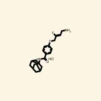 Cl.NCC=C(F)COc1ccc(C(=O)NC23CC4CC(CC(C4)C2)C3)cc1